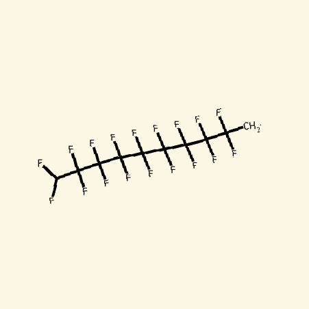 [CH2]C(F)(F)C(F)(F)C(F)(F)C(F)(F)C(F)(F)C(F)(F)C(F)(F)C(F)(F)C(F)F